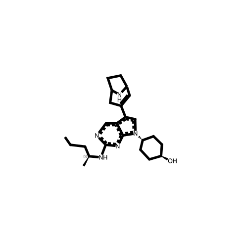 CCC[C@H](C)Nc1ncc2c(C3=CC4CCC(C3)N4)cn([C@H]3CC[C@H](O)CC3)c2n1